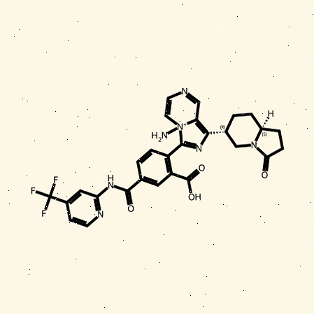 N[N+]12C=CN=CC1=C([C@@H]1CC[C@H]3CCC(=O)N3C1)N=C2c1ccc(C(=O)Nc2cc(C(F)(F)F)ccn2)cc1C(=O)O